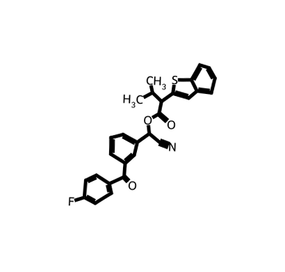 CC(C)C(C(=O)OC(C#N)c1cccc(C(=O)c2ccc(F)cc2)c1)c1cc2ccccc2s1